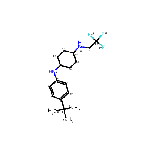 CC(C)(C)c1ccc(NC2CCC(NCC(F)(F)F)CC2)cc1